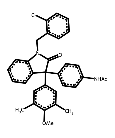 COc1c(C)cc(C2(c3ccc(NC(C)=O)cc3)C(=O)N(Cc3ccccc3Cl)c3ccccc32)cc1C